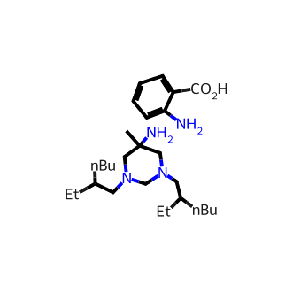 CCCCC(CC)CN1CN(CC(CC)CCCC)CC(C)(N)C1.Nc1ccccc1C(=O)O